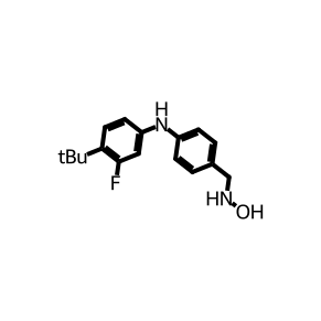 CC(C)(C)c1ccc(Nc2ccc(CNO)cc2)cc1F